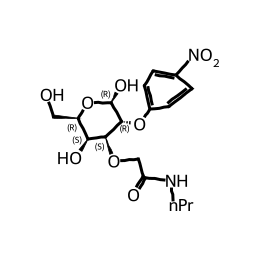 CCCNC(=O)CO[C@H]1[C@@H](O)[C@@H](CO)O[C@@H](O)[C@@H]1Oc1ccc([N+](=O)[O-])cc1